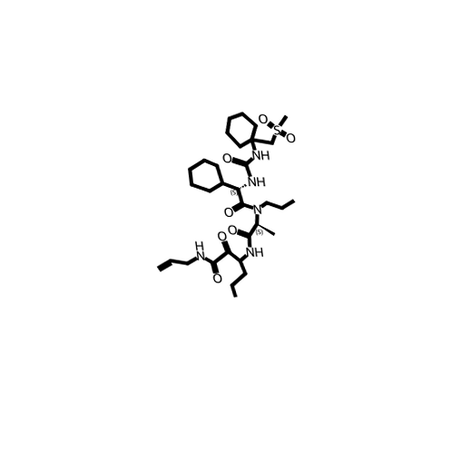 C=CCNC(=O)C(=O)C(CCC)NC(=O)[C@H](C)N(CCC)C(=O)[C@@H](NC(=O)NC1(CS(C)(=O)=O)CCCCC1)C1CCCCC1